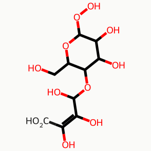 O=C(O)/C(O)=C(/O)C(O)OC1C(CO)OC(OO)C(O)C1O